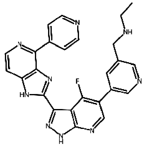 CCNCc1cncc(-c2cnc3[nH]nc(-c4nc5c(-c6ccncc6)nccc5[nH]4)c3c2F)c1